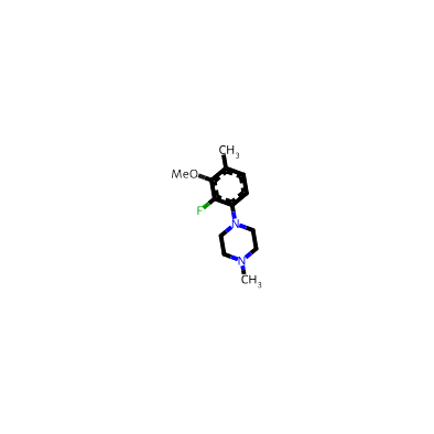 COc1c(C)ccc(N2CCN(C)CC2)c1F